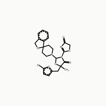 CC1(Cc2ccc(Cl)s2)OC(N2CCC3(CC2)OCc2ccccc23)N(C2=NC(=O)CO2)C1=O